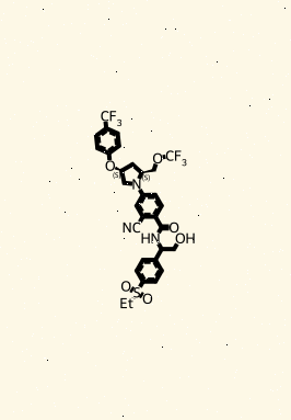 CCS(=O)(=O)c1ccc(C(CO)NC(=O)c2ccc(N3C[C@@H](Oc4ccc(C(F)(F)F)cc4)C[C@H]3COC(F)(F)F)cc2C#N)cc1